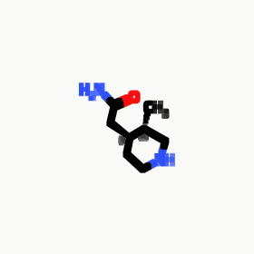 C[C@@H]1CNCC[C@H]1CC(N)=O